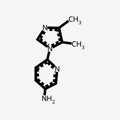 Cc1ncn(-c2ccc(N)cn2)c1C